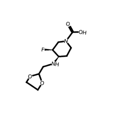 O=C(O)N1CC[C@@H](NCC2OCCO2)[C@@H](F)C1